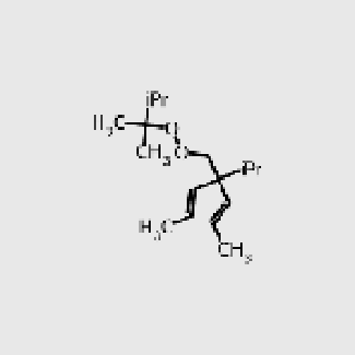 CC=CC(C=CC)(COOC(C)(C)C(C)C)C(C)C